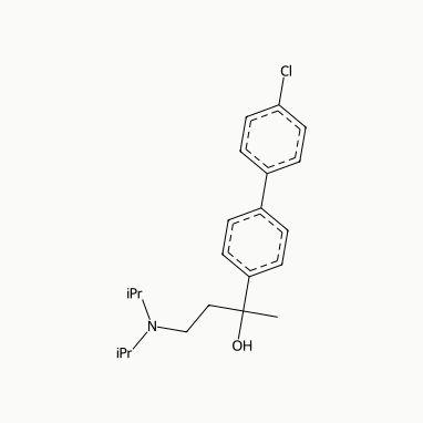 CC(C)N(CCC(C)(O)c1ccc(-c2ccc(Cl)cc2)cc1)C(C)C